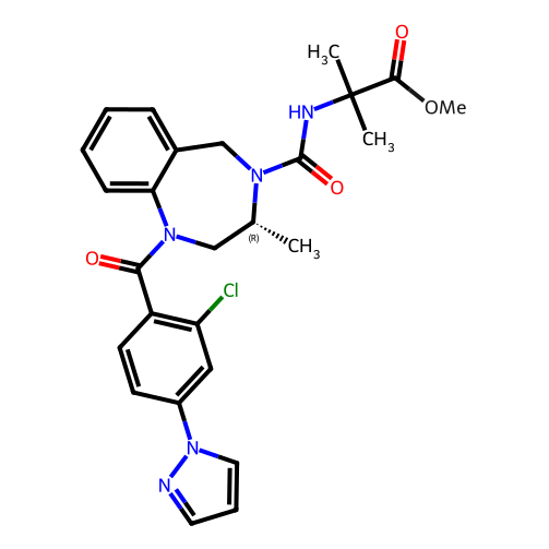 COC(=O)C(C)(C)NC(=O)N1Cc2ccccc2N(C(=O)c2ccc(-n3cccn3)cc2Cl)C[C@H]1C